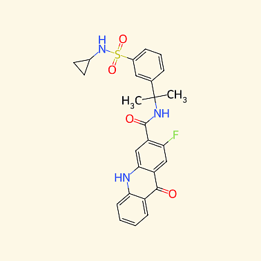 CC(C)(NC(=O)c1cc2[nH]c3ccccc3c(=O)c2cc1F)c1cccc(S(=O)(=O)NC2CC2)c1